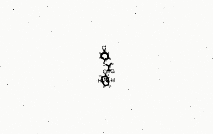 CC(Sc1ccc(Cl)cc1)C(=O)OC1C[C@H]2CC[C@@H](C1)N2C